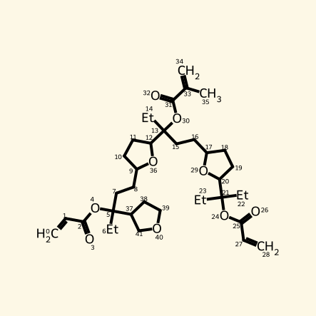 C=CC(=O)OC(CC)(CCC1CCC(C(CC)(CCC2CCC(C(CC)(CC)OC(=O)C=C)O2)OC(=O)C(=C)C)O1)C1CCOC1